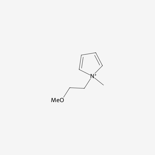 COCC[N+]1(C)C=CC=C1